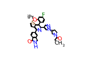 C=CC(=O)N1CC[C@H](n2cc(-c3nc(-c4ccc5c(c4)CNC5=O)c4ccsc4c3-c3ccc(F)cc3OC(C)C)cn2)C1